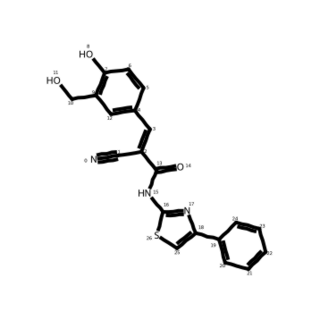 N#C/C(=C\c1ccc(O)c(CO)c1)C(=O)Nc1nc(-c2ccccc2)cs1